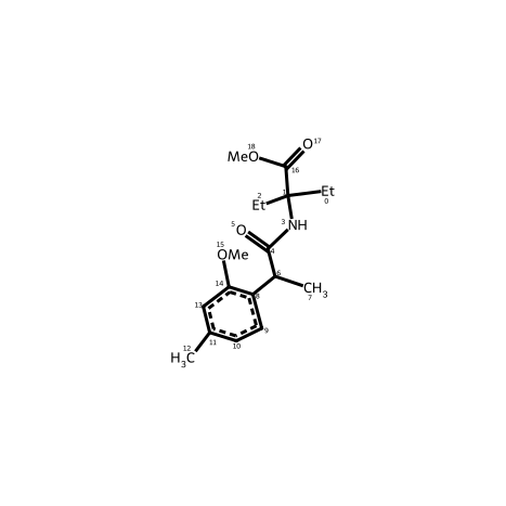 CCC(CC)(NC(=O)C(C)c1ccc(C)cc1OC)C(=O)OC